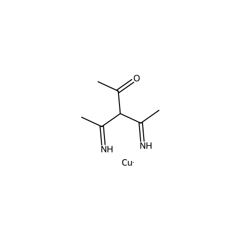 CC(=N)C(C(C)=N)C(C)=O.[Cu]